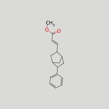 COC(=O)/C=C/C1CC2CC1CC2c1ccccc1